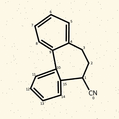 N#CC1CCc2ccccc2-c2ccccc21